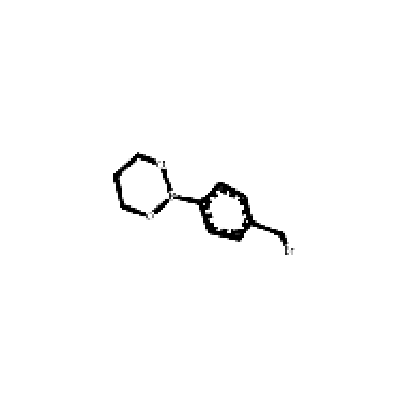 BrCc1ccc(B2OCCCO2)cc1